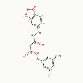 N#Cc1cc(F)cc(COC(=O)CC(=O)CCc2ccc3c(c2)OCO3)c1